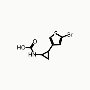 O=C(O)NC1CC1c1csc(Br)c1